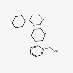 C1CCOCC1.C1CCOCC1.C1CCOCC1.OCc1ccccc1